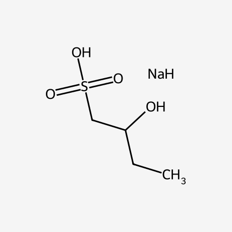 CCC(O)CS(=O)(=O)O.[NaH]